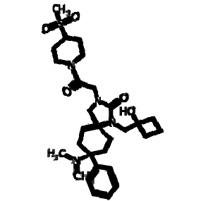 CN(C)[C@]1(c2ccccc2)CC[C@@]2(CC1)CN(CC(=O)N1CCC(S(C)(=O)=O)CC1)C(=O)N2CC1(O)CCC1